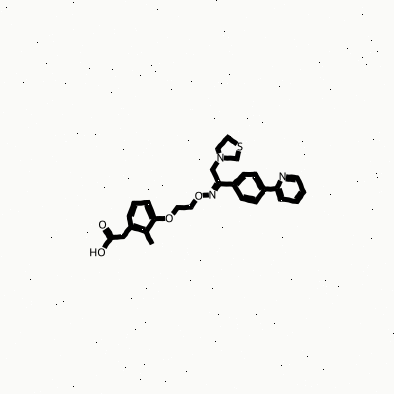 Cc1c(CC(=O)O)cccc1OCCON=C(CN1CCSC1)c1ccc(-c2ccccn2)cc1